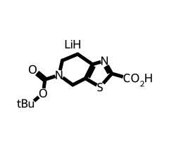 CC(C)(C)OC(=O)N1CCc2nc(C(=O)O)sc2C1.[LiH]